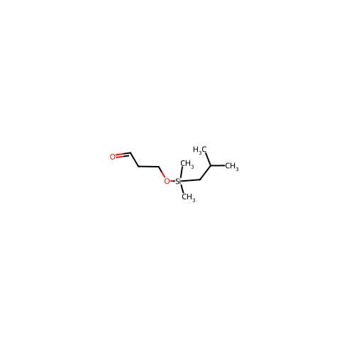 CC(C)C[Si](C)(C)OCCC=O